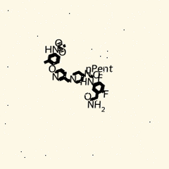 CCCCCN(C(=O)Nc1cc(CC(N)=O)c(F)cc1F)C1CCN(Cc2ccc(Oc3ccc(NS(C)(=O)=O)cc3C)nc2)CC1